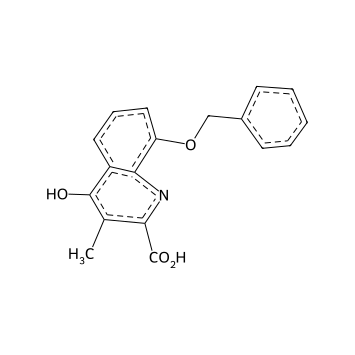 Cc1c(C(=O)O)nc2c(OCc3ccccc3)cccc2c1O